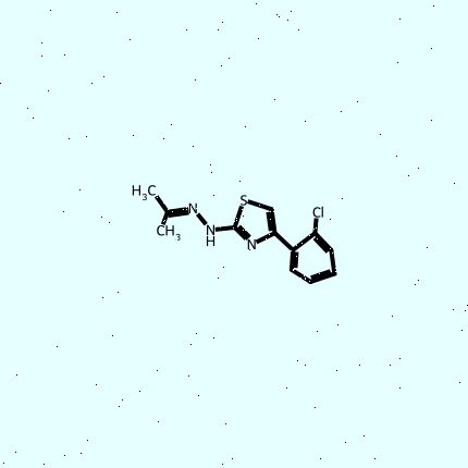 CC(C)=NNc1nc(-c2ccccc2Cl)cs1